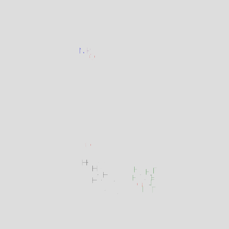 CCCP(OCCCCCCCCCCCCCCO[C@@H]1CC[C@@]2(C)[C@H](CC[C@@H]3[C@@H]2CC[C@]2(C)[C@@H]([C@H](C)CCCOC(C(F)(F)F)(C(F)(F)F)C(F)(F)F)CC[C@@H]32)C1)N(C(C)C)C(C)C